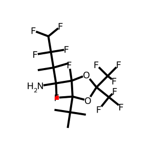 CC(C)(C)C1(F)OC(C(F)(F)F)(C(F)(F)F)OC1(F)C(C)(N)C(C)(C)C(F)(F)C(F)F